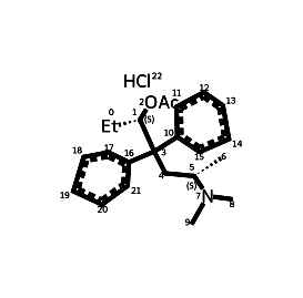 CC[C@H](OC(C)=O)C(C[C@H](C)N(C)C)(c1ccccc1)c1ccccc1.Cl